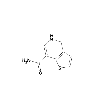 NC(=O)C1=CNCc2ccsc21